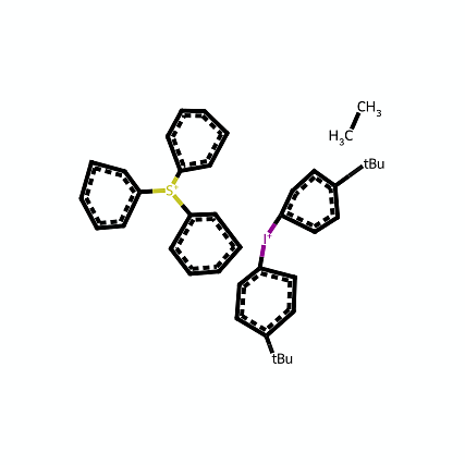 CC.CC(C)(C)c1ccc([I+]c2ccc(C(C)(C)C)cc2)cc1.c1ccc([S+](c2ccccc2)c2ccccc2)cc1